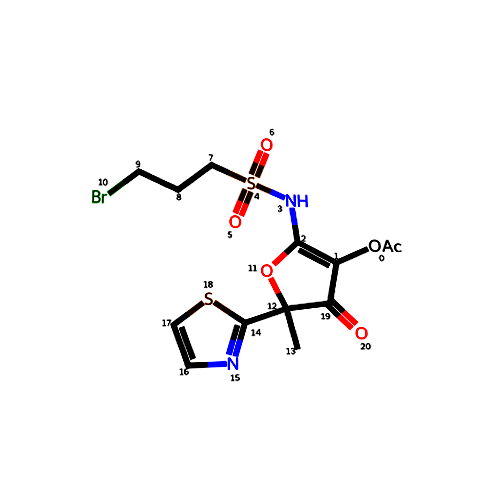 CC(=O)OC1=C(NS(=O)(=O)CCCBr)OC(C)(c2nccs2)C1=O